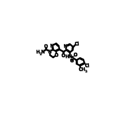 Cc1cc(S(=O)(=O)Nc2cc(Cl)cnc2C(=O)c2ccnc3c2OCCN3C(N)=O)ccc1Cl